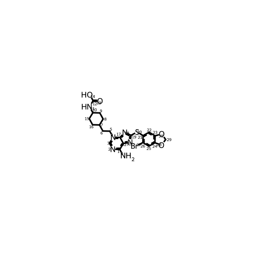 Nc1ncn(CCC2CCC(NC(=O)O)CC2)c2nc(Sc3cc4c(cc3Br)OCO4)nc1-2